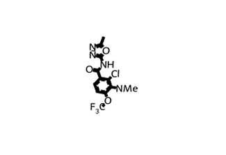 CNc1c(OC(F)(F)F)ccc(C(=O)Nc2nnc(C)o2)c1Cl